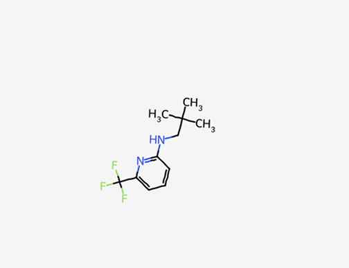 CC(C)(C)CNc1cccc(C(F)(F)F)n1